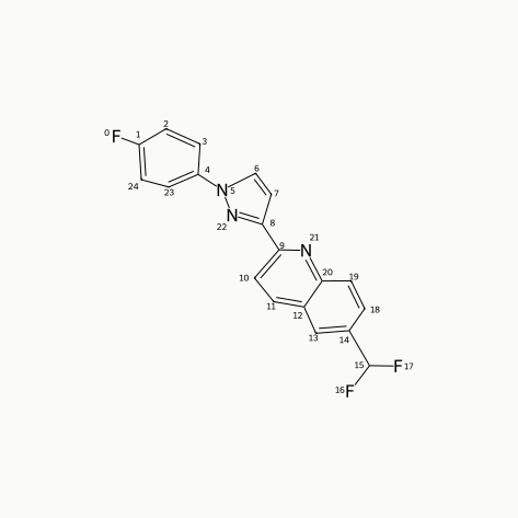 Fc1ccc(-n2ccc(-c3ccc4cc(C(F)F)ccc4n3)n2)cc1